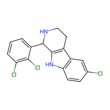 Clc1ccc2[nH]c3c(c2c1)CCNC3c1cccc(Cl)c1Cl